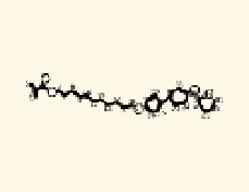 C=C(C)C(=O)OCCCCCCCCCCCOc1ccc(-c2ccc(OC3CCCCO3)cc2)cc1